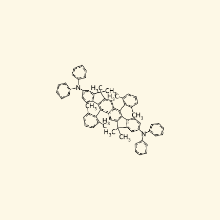 Cc1cccc(C)c1-c1c2c(cc3c(-c4c(C)cccc4C)c4c(cc13)C(C)(C)c1cc(N(c3ccccc3)c3ccccc3)ccc1-4)C(C)(C)c1cc(N(c3ccccc3)c3ccccc3)ccc1-2